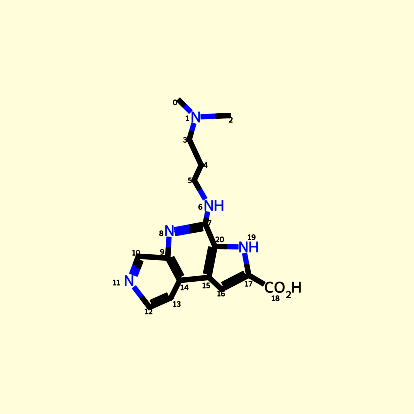 CN(C)CCCNc1nc2cnccc2c2cc(C(=O)O)[nH]c12